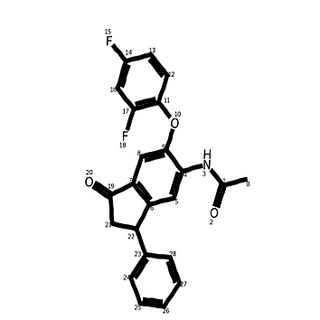 CC(=O)Nc1cc2c(cc1Oc1ccc(F)cc1F)C(=O)CC2c1ccccc1